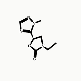 CCN1C[C@H](c2ncnn2C)OC1=O